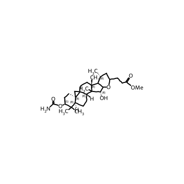 COC(=O)CCC1C[C@@H](C)C2C(O1)[C@H](O)C1(C)[C@@H]3CC[C@H]4C(C)(C)[C@@H](OC(N)=O)CC[C@@]45CC35CC[C@]21C